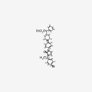 CCOC(=O)C(c1ccccc1)C1CCN(c2ccc(-n3ccn([C@@H](C)c4ccc(Br)cc4)c3=O)cc2)CC1